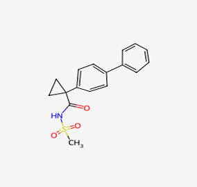 CS(=O)(=O)NC(=O)C1(c2ccc(-c3ccccc3)cc2)CC1